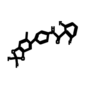 Cc1cc2c(cc1-c1ccc(NC(=O)c3c(F)cccc3F)cc1)OC(F)(F)O2